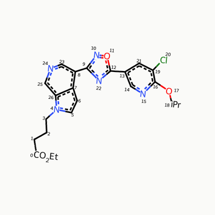 CCOC(=O)CCCn1ccc2c(-c3noc(-c4cnc(OC(C)C)c(Cl)c4)n3)cncc21